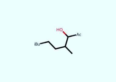 CCC(C)CCC(C)C(O)C(C)=O